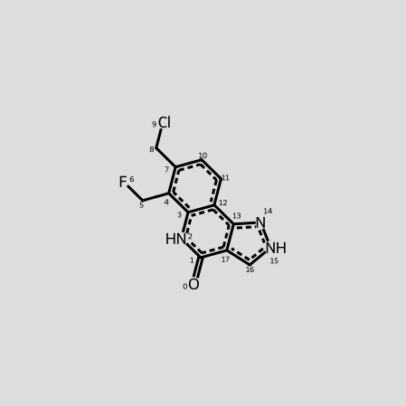 O=c1[nH]c2c(CF)c(CCl)ccc2c2n[nH]cc12